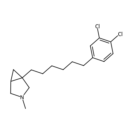 CN1CC2CC2(CCCCCCc2ccc(Cl)c(Cl)c2)C1